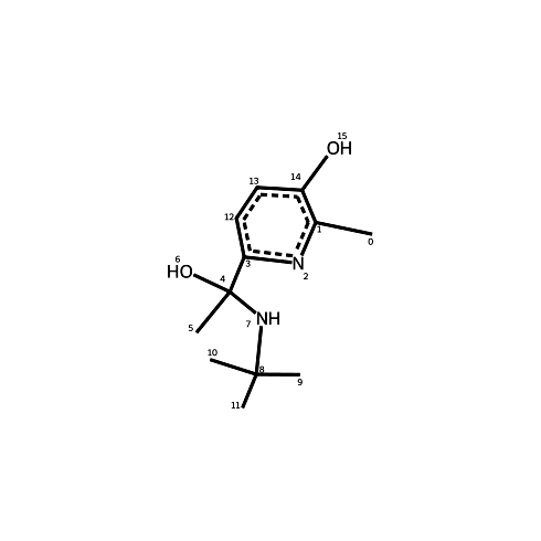 Cc1nc(C(C)(O)NC(C)(C)C)ccc1O